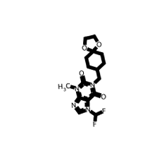 Cn1c(=O)n(CC2CCC3(CC2)OCCO3)c(=O)c2c1ncn2C(F)F